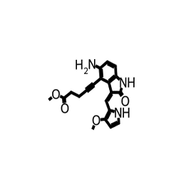 COC(=O)CCC#Cc1c(N)ccc2c1/C(=C/c1[nH]ccc1OC)C(=O)N2